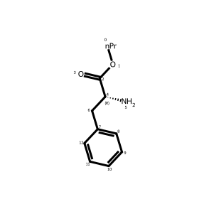 CCCOC(=O)[C@H](N)Cc1ccccc1